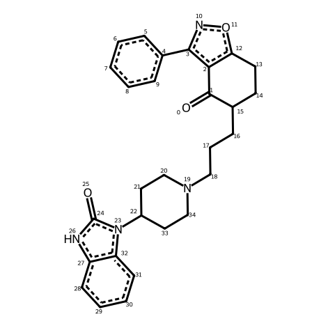 O=C1c2c(-c3ccccc3)noc2CCC1CCCN1CCC(n2c(=O)[nH]c3ccccc32)CC1